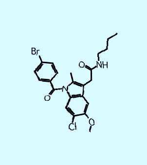 CCCCNC(=O)Cc1c(C)n(C(=O)c2ccc(Br)cc2)c2cc(Cl)c(OC)cc12